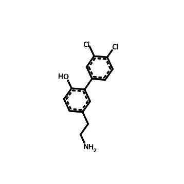 NCCc1ccc(O)c(-c2ccc(Cl)c(Cl)c2)c1